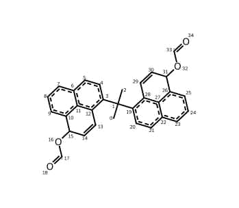 CC(C)(c1ccc2cccc3c2c1C=CC3O[C]=O)c1ccc2cccc3c2c1C=CC3O[C]=O